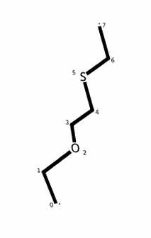 [CH2]COCCSC[CH2]